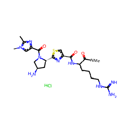 CNC(=O)C(CCCCNC(=N)N)NC(=O)c1csc([C@@H]2C[C@@H](N)CN2C(=O)c2cn(C)c(C)n2)n1.Cl